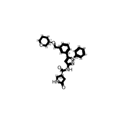 O=C1C[C@H](C(=O)Nc2cc(-c3cccc(CO[C@@H]4CCCOC4)c3)n(-c3ccccc3)n2)CN1